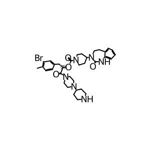 Cc1ccc(C[C@@H](OC(=O)N2CCC(N3CCc4ccccc4NC3=O)CC2)C(=O)N2CCN(C3CCNCC3)CC2)cc1Br